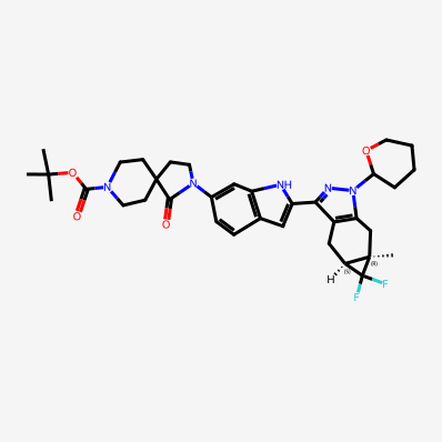 CC(C)(C)OC(=O)N1CCC2(CC1)CCN(c1ccc3cc(-c4nn(C5CCCCO5)c5c4C[C@@H]4C(F)(F)[C@]4(C)C5)[nH]c3c1)C2=O